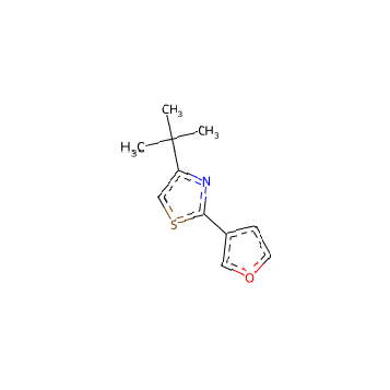 CC(C)(C)c1csc(-c2ccoc2)n1